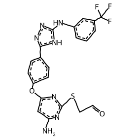 Nc1cc(Oc2ccc(-c3nnc(Nc4cccc(C(F)(F)F)c4)[nH]3)cc2)nc(SCC=O)n1